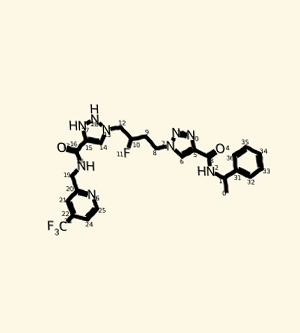 CC(NC(=O)c1cn(CCC(F)CN2C=C(C(=O)NCc3cc(C(F)(F)F)ccn3)NN2)nn1)c1ccccc1